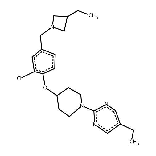 CCc1cnc(N2CCC(Oc3ccc(CN4CC(CC)C4)cc3Cl)CC2)nc1